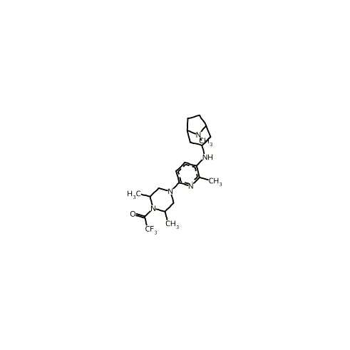 Cc1nc(N2CC(C)N(C(=O)C(F)(F)F)C(C)C2)ccc1NC1CC2CCC(C1)N2C